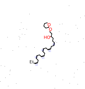 CC/C=C\C/C=C\C/C=C\C/C=C\C/C=C\C/C=C\CCC(O)CCOC1CCCCO1